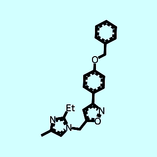 CCc1nc(C)cn1Cc1cc(-c2ccc(OCc3ccccc3)cc2)no1